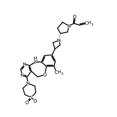 C=CC(=O)N1CC[C@@H](N2CC(c3cc(C)c4c(c3)Nc3ncnc(N5CCS(=O)(=O)CC5)c3CO4)C2)C1